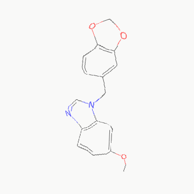 COc1ccc2ncn(Cc3ccc4c(c3)OCO4)c2c1